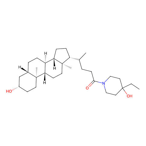 CCC1(O)CCN(C(=O)CCC(C)[C@H]2CC[C@H]3[C@@H]4CC[C@H]5C[C@@H](O)CC[C@]5(C)[C@H]4CC[C@]23C)CC1